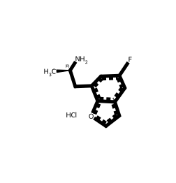 C[C@@H](N)Cc1cc(F)cc2ccoc12.Cl